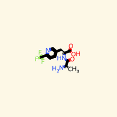 C[C@@H](N)C(=O)N[C@@H](Cc1ccc(C(F)(F)F)nc1)C(=O)O